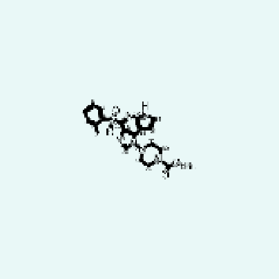 Cc1ccccc1S(=O)(=O)c1nc2[nH]ccc2c2c1ncn2N1CCN(C(=O)OC(C)(C)C)CC1